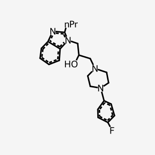 CCCc1nc2ccccc2n1CC(O)CN1CCN(c2ccc(F)cc2)CC1